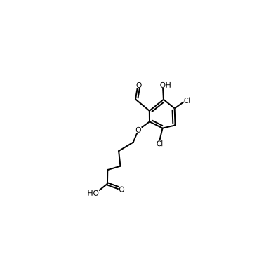 O=Cc1c(O)c(Cl)cc(Cl)c1OCCCCC(=O)O